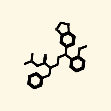 COc1ccccc1C(CCN(Cc1ccccc1)C(=O)CN(C)C)c1ccc2c(c1)OCO2